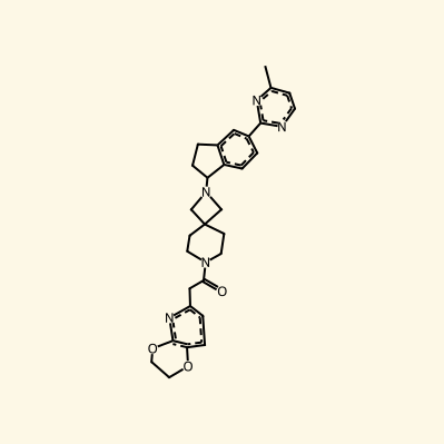 Cc1ccnc(-c2ccc3c(c2)CCC3N2CC3(CCN(C(=O)Cc4ccc5c(n4)OCCO5)CC3)C2)n1